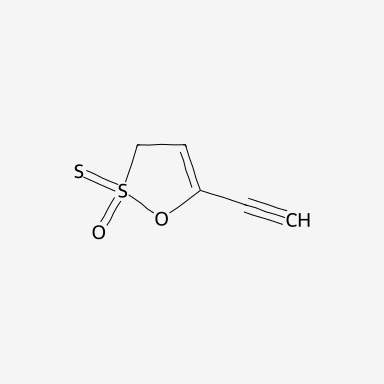 C#CC1=CCS(=O)(=S)O1